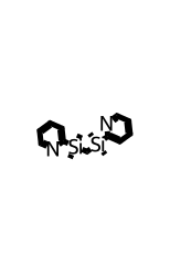 C[Si](C)(C[Si](C)(C)c1ccccn1)c1ccccn1